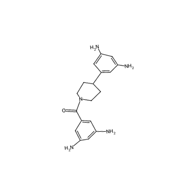 Nc1cc(N)cc(C(=O)N2CCC(c3cc(N)cc(N)c3)CC2)c1